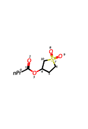 CCCC(=O)OC1CCS(=O)(=O)C1